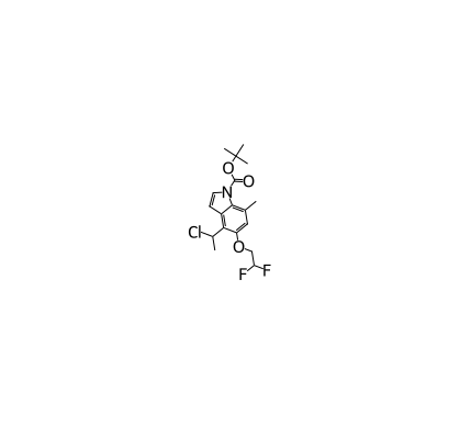 Cc1cc(OCC(F)F)c(C(C)Cl)c2ccn(C(=O)OC(C)(C)C)c12